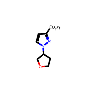 CCOC(=O)c1ccn(C2CCOC2)n1